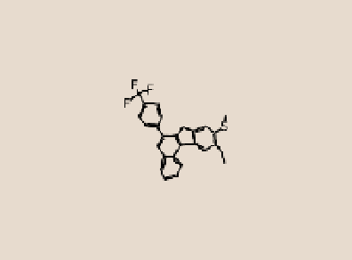 CCc1cc2c(cc1SC)Cc1c(-c3ccc(C(F)(F)F)cc3)cc3ccccc3c1-2